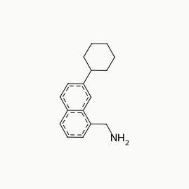 NCc1cccc2ccc(C3CCCCC3)cc12